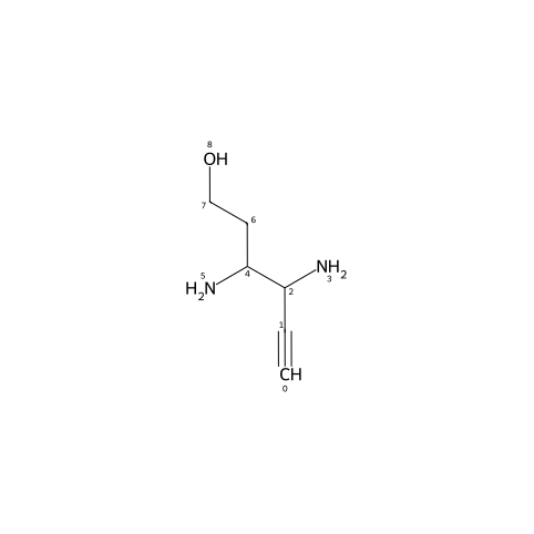 C#CC(N)C(N)CCO